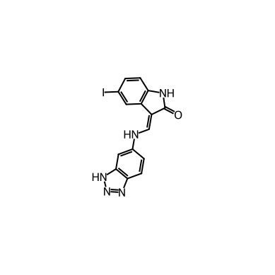 O=C1Nc2ccc(I)cc2/C1=C\Nc1ccc2nn[nH]c2c1